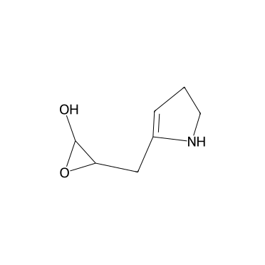 OC1OC1CC1=CCCN1